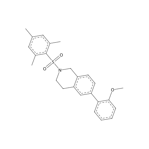 COc1ccccc1-c1ccc2c(c1)CCN(S(=O)(=O)c1c(C)cc(C)cc1C)C2